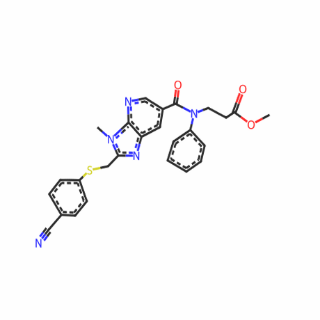 COC(=O)CCN(C(=O)c1cnc2c(c1)nc(CSc1ccc(C#N)cc1)n2C)c1ccccc1